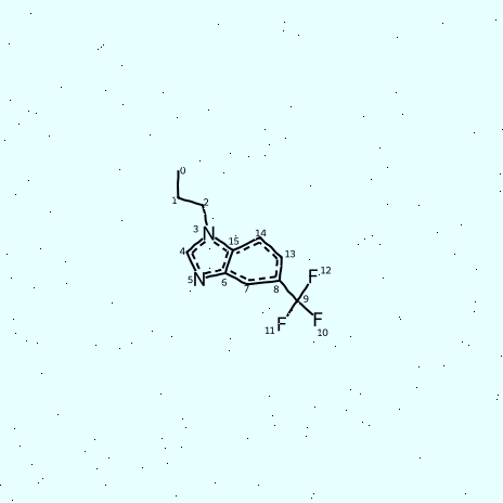 CCCn1cnc2cc(C(F)(F)F)ccc21